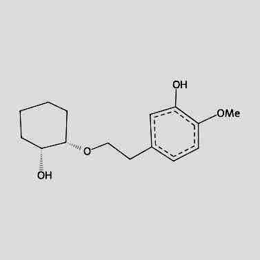 COc1ccc(CCO[C@H]2CCCC[C@H]2O)cc1O